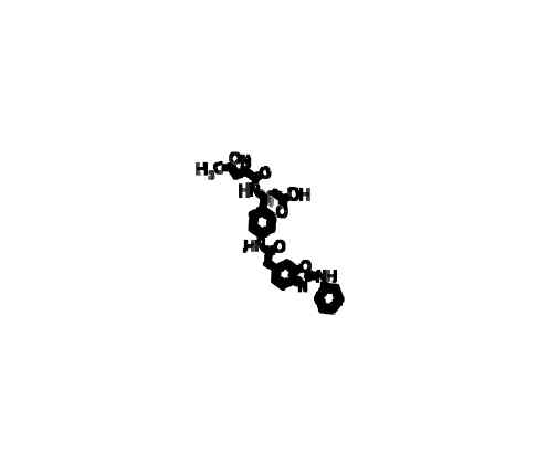 Cc1cc(C(=O)N[C@H](CC(=O)O)c2ccc(NC(=O)Cc3ccc4nc(Nc5ccccc5)oc4c3)cc2)no1